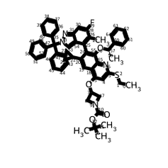 CCSc1cc(OC2CN(C(=O)OC(C)(C)C)C2)c2cc(C3CC3)c(-c3c(C)c(F)cc4nn(C(c5ccccc5)(c5ccccc5)c5ccccc5)cc34)c(O[C@@H](C)c3ccccc3)c2n1